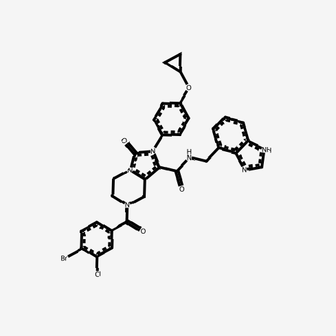 O=C(NCc1cccc2[nH]cnc12)c1c2n(c(=O)n1-c1ccc(OC3CC3)cc1)CCN(C(=O)c1ccc(Br)c(Cl)c1)C2